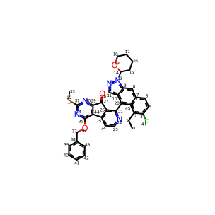 CCc1c(F)ccc2cc3c(cnn3C3CCCCO3)c(-c3nccc4c3C(=O)c3nc(SC)nc(OCc5ccccc5)c3-4)c12